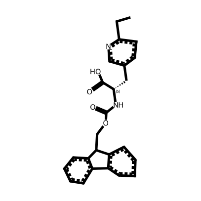 CCc1ccc(C[C@H](NC(=O)OCC2c3ccccc3-c3ccccc32)C(=O)O)cn1